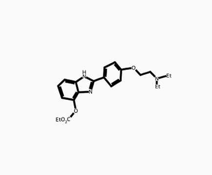 CCOC(=O)Oc1cccc2[nH]c(-c3ccc(OCCN(CC)CC)cc3)nc12